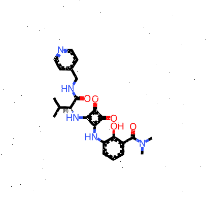 CC(C)[C@@H](Nc1c(Nc2cccc(C(=O)N(C)C)c2O)c(=O)c1=O)C(=O)NCc1ccncc1